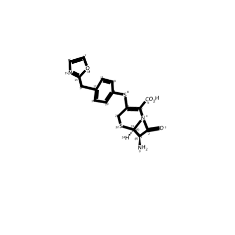 N[C@@H]1C(=O)N2C(C(=O)O)=C(Sc3ccc(Cc4ncco4)cc3)CS[C@H]12